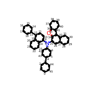 c1ccc(-c2ccc(N(c3ccc(-c4ccccc4)c4ccccc34)c3cc4ccccc4c4c3oc3ccccc34)cc2)cc1